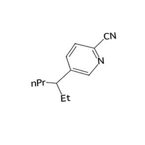 CCCC(CC)c1ccc(C#N)nc1